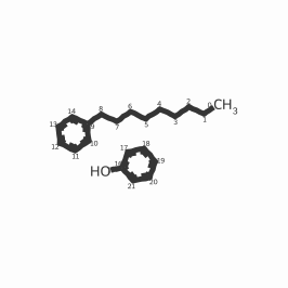 CCCCCCCCCc1ccccc1.Oc1ccccc1